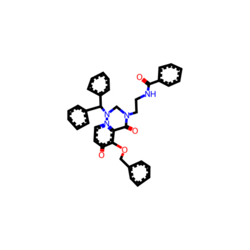 O=C(NCCN1CN(C(c2ccccc2)c2ccccc2)n2ccc(=O)c(OCc3ccccc3)c2C1=O)c1ccccc1